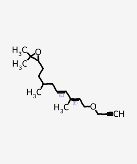 C#CCOC/C=C(C)/C=C/CC(C)CCC1OC1(C)C